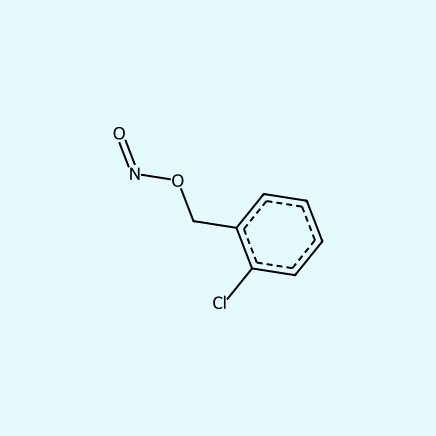 O=NOCc1ccccc1Cl